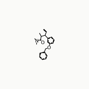 C=CC(c1cccc(OCc2ccccc2)c1)C(C)C(=O)N(C)C